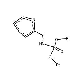 CCOP(=O)(NCc1ccccn1)OCC